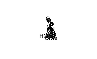 COP(=O)(O)O[C@H]1O[C@@H](n2cnc3c(-c4cccc(N5CCOCC5)c4)ncnc32)[C@@H]2OC(C)(C)O[C@@H]12